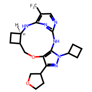 FC(F)(F)c1cnc2nc1N[C@@H]1CCC1COc1c(C3CCOC3)nn(C3CCC3)c1N2